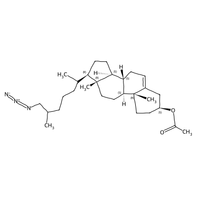 CC(=O)O[C@H]1CC[C@@]2(C)C(=CC[C@H]3[C@@H]4CC[C@H](C(C)CCCC(C)CN=[N+]=[N-])[C@@]4(C)CC[C@@H]32)C1